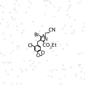 CCOC(=O)c1nn(CCC#N)c(Br)c1Cc1cc2c(cc1Cl)OCO2